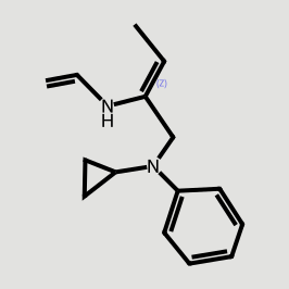 C=CN/C(=C\C)CN(c1ccccc1)C1CC1